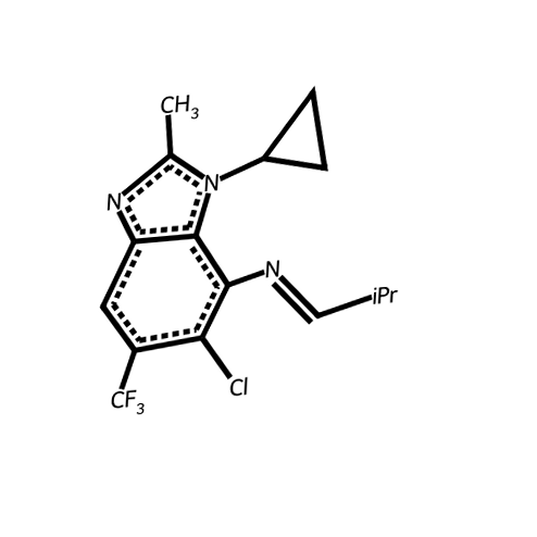 Cc1nc2cc(C(F)(F)F)c(Cl)c(N=CC(C)C)c2n1C1CC1